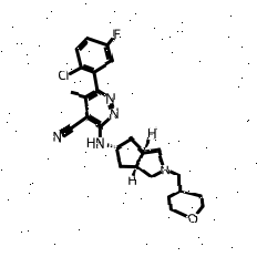 Cc1c(-c2cc(F)ccc2Cl)nnc(N[C@@H]2C[C@@H]3CN(CC4CCOCC4)C[C@@H]3C2)c1C#N